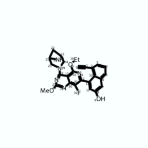 C#Cc1cccc2cc(O)cc(-c3nc(OCC)c4c(N5CC6CC(C5)N6)nc(OC)nc4c3F)c12